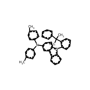 Cc1ccc(N(c2ccc(C)cc2)c2ccc3c(c2)c2ccccc2n3-c2ccccc2C(C)(C)c2ccccc2)cc1